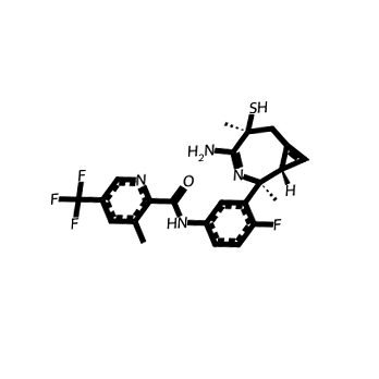 Cc1cc(C(F)(F)F)cnc1C(=O)Nc1ccc(F)c([C@@]2(C)N=C(N)[C@@](C)(S)CC3=C[C@@H]32)c1